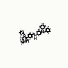 O=C(c1ccc(CN[C@H]2CC[C@H](N(Cc3ccccc3)C3CCCCC3)CC2)cc1)N(Cc1ncc[nH]1)Cc1ncc[nH]1